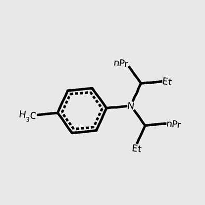 CCCC(CC)N(c1ccc(C)cc1)C(CC)CCC